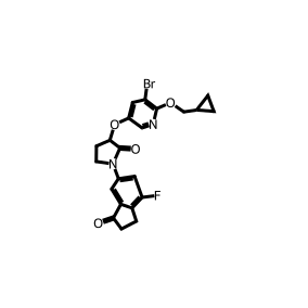 O=C1CCc2c(F)cc(N3CCC(Oc4cnc(OCC5CC5)c(Br)c4)C3=O)cc21